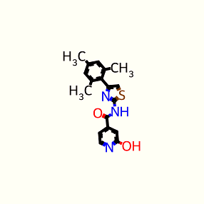 Cc1cc(C)c(-c2csc(NC(=O)c3ccnc(O)c3)n2)c(C)c1